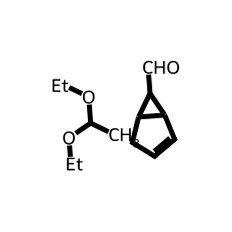 CCOC(C)OCC.O=CC1C2C=CCC12